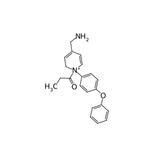 CCC(=O)[N+]1(c2ccc(Oc3ccccc3)cc2)C=CC(CN)=CC1